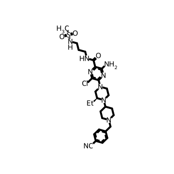 CC[C@H]1CN(c2nc(N)c(C(=O)NCCCNS(C)(=O)=O)nc2Cl)CCN1C1CCN(Cc2ccc(C#N)cc2)CC1